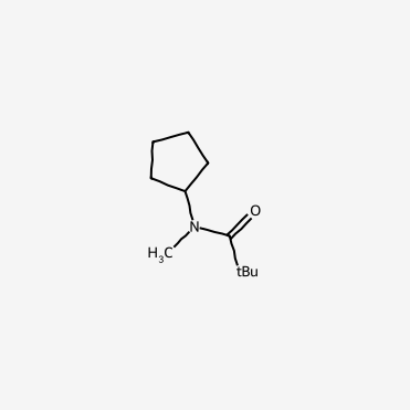 CN(C(=O)C(C)(C)C)C1CCCC1